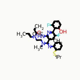 C=CC(=O)N(/C=C/C)CCN(C)/C(=N/c1c(C)cccc1SC(C)C)c1cc(F)c(-c2c(O)cccc2F)nc1NC=O